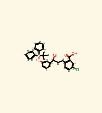 CC(C)(C)[Si](Oc1cccc(C(O)CCc2ccc(Cl)cc2C(=O)O)c1)(c1ccccc1)c1ccccc1